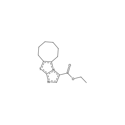 CCOC(=O)c1cnc2sc3c(n12)CCCCCC3